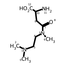 CN(C)CCN(C)C(=O)CC(N)C(=O)O